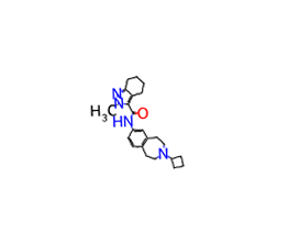 Cn1nc2c(c1C(=O)Nc1ccc3c(c1)CCN(C1CCC1)CC3)CCCC2